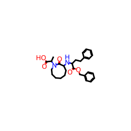 CC(C(=O)O)N1CCCCCCC(NC(CCc2ccccc2)C(=O)OCc2ccccc2)C1=O